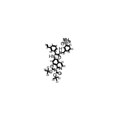 C=Cc1cccc(C(Nc2ccc3c(N(C(=O)OC(C)(C)C)C(=O)OC(C)(C)C)nccc3c2)C(=O)NCc2cccc(S(N)(=O)=O)c2)c1